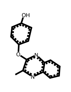 Cc1nc2ccccc2nc1Oc1ccc(O)cc1